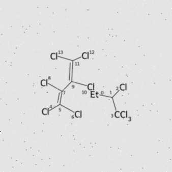 CCC(Cl)C(Cl)(Cl)Cl.ClC(Cl)=C(Cl)C(Cl)=C(Cl)Cl